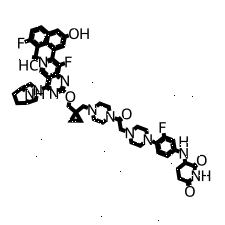 C#Cc1c(F)ccc2cc(O)cc(-c3ncc4c(N5CC6CCC(C5)N6)nc(OCC5(CN6CCN(C(=O)CN7CCN(c8ccc(NC9CCC(=O)NC9=O)cc8F)CC7)CC6)CC5)nc4c3F)c12